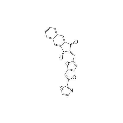 O=C1C(=Cc2cc3oc(-c4nccs4)cc3o2)C(=O)c2cc3ccccc3cc21